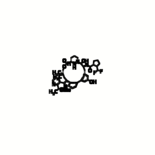 CCn1c(-c2cccnc2[C@H](C)OC)c2c3cc(ccc31)-c1cc(O)cc(c1)C[C@H](NC(=O)C1CCCC1C(F)F)C(=O)N1CCC[C@H](N1)C(=O)OCC(C)(C)C2